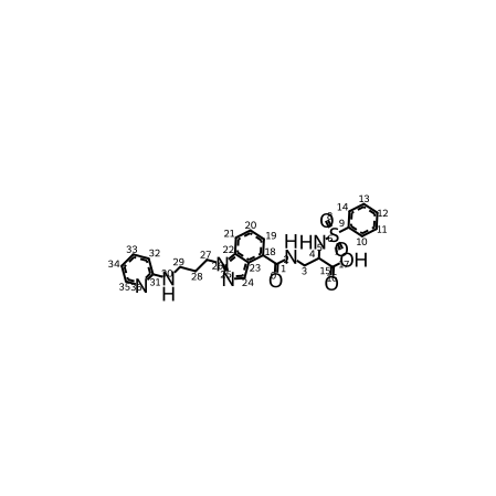 O=C(NCC(NS(=O)(=O)c1ccccc1)C(=O)O)c1cccc2c1cnn2CCCNc1ccccn1